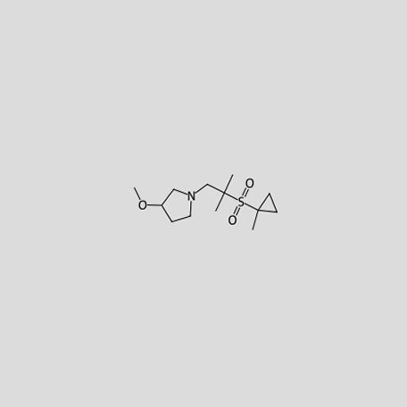 COC1CCN(CC(C)(C)S(=O)(=O)C2(C)CC2)C1